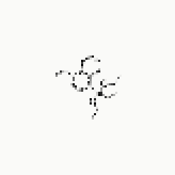 C=Cc1ccc([Si](CC)(OCC)OCC)c2ccccc12